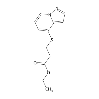 CCOC(=O)CCSc1cccn2nccc12